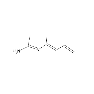 C=C/C=C(C)/N=C(\C)N